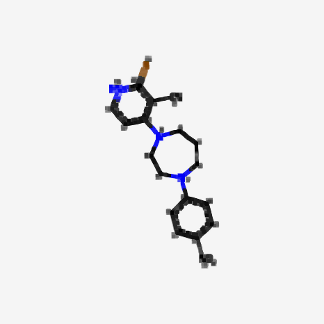 N#Cc1c(N2CCCN(c3ccc([N+](=O)[O-])cc3)CC2)cc[nH]c1=S